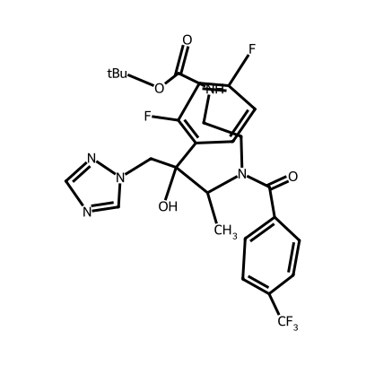 CC(N(CCNC(=O)OC(C)(C)C)C(=O)c1ccc(C(F)(F)F)cc1)C(O)(Cn1cncn1)c1ccc(F)cc1F